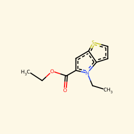 CCOC(=O)c1cc2sccc2n1CC